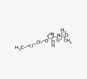 CCCOCCOCCOc1ccnc(C2=N[C@@](C)(C(C)=O)CO2)c1O